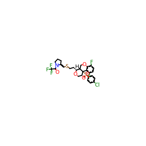 O=C(N1CCC/C1=C\SCC[C@@H]1OCC[C@@]2(S(=O)(=O)c3ccc(Cl)cc3)c3c(F)ccc(F)c3OC[C@@H]12)C(F)(F)F